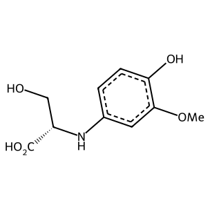 COc1cc(N[C@@H](CO)C(=O)O)ccc1O